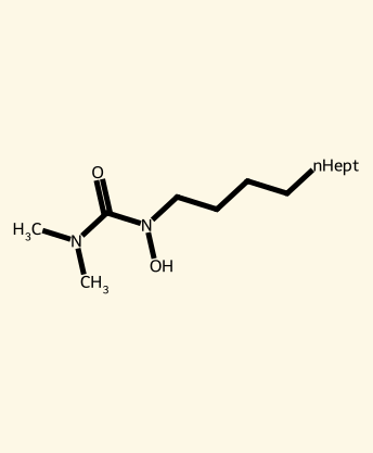 CCCCCCCCCCCN(O)C(=O)N(C)C